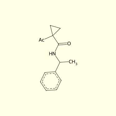 CC(=O)C1(C(=O)NC(C)c2ccccc2)CC1